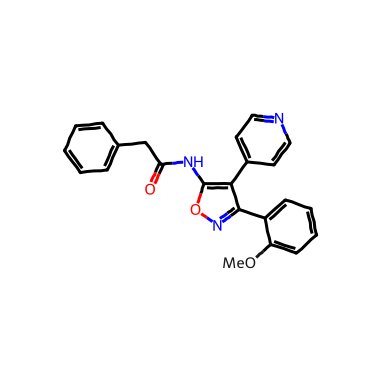 COc1ccccc1-c1noc(NC(=O)Cc2ccccc2)c1-c1ccncc1